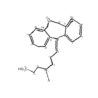 CN(CC/C=C1/c2ccccc2COc2ccccc21)CCC(=O)O